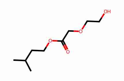 CC(C)CCOC(=O)COCCO